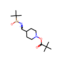 CC(C)(C)C(=O)ON1CCC(/C=N/[S+]([O-])C(C)(C)C)CC1